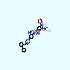 O=[N+]([O-])c1cc(S(=O)(=O)Nc2ncnc3cc(N4CCN(Cc5ccccc5-c5ccccc5)CC4)ccc23)ccc1NC1CCOCC1